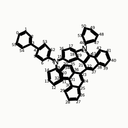 c1ccc(-c2ccc(N(c3ccccc3)c3ccc4c(c3)c3c(-c5cc6ccccc6c6ccccc56)cc5ccccc5c3n4-c3ccccc3)cc2)cc1